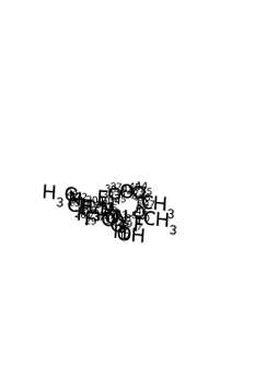 Cc1cc2cc(c1F)[C@H](CC(=O)O)NC(=O)[C@@H](n1cc(CCCN(C)C)c(C(F)(F)F)cc1=O)c1cc(ccc1F)Oc1cccc(C)c1-2